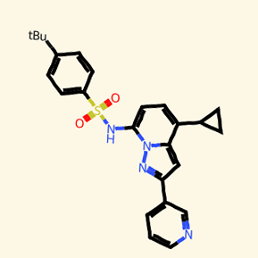 CC(C)(C)c1ccc(S(=O)(=O)Nc2ccc(C3CC3)c3cc(-c4cccnc4)nn23)cc1